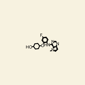 Cn1ccc2ncnc(Nc3ccc(F)cc3OC3CCC(O)CC3)c21